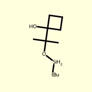 CC(C)(C)[SiH2]OC(C)(C)C1(O)CCC1